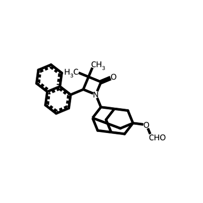 CC1(C)C(=O)N(C2C3CC4CC2CC(OC=O)(C4)C3)C1c1cccc2ccccc12